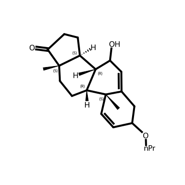 CCCOC1C=C[C@@]2(C)C(=CC(O)[C@@H]3[C@H]2CC[C@]2(C)C(=O)CC[C@@H]32)C1